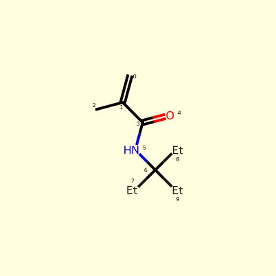 C=C(C)C(=O)NC(CC)(CC)CC